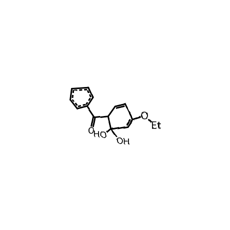 CCOC1=CC(O)(O)C(C(=O)c2ccccc2)C=C1